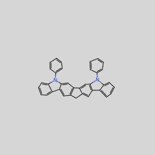 c1ccc(-n2c3ccccc3c3cc4c(cc32)-c2cc3c(cc2C4)c2ccccc2n3-c2ccccc2)cc1